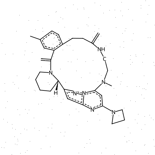 C=C1CCc2ccc(C)cc2C(=C)N2CCCC[C@H]2c2cc3nc(N4CCC4)cc(n3n2)N(C)CCN1